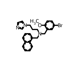 COc1ccc(Br)cc1CN(CCCn1ccnc1)Cc1cccc2ccccc12